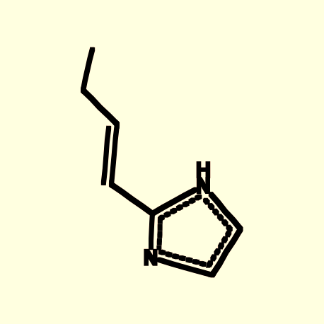 CC/C=C/c1ncc[nH]1